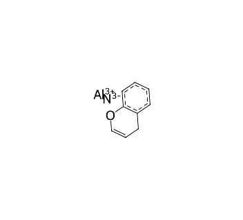 C1=COc2ccccc2C1.[Al+3].[N-3]